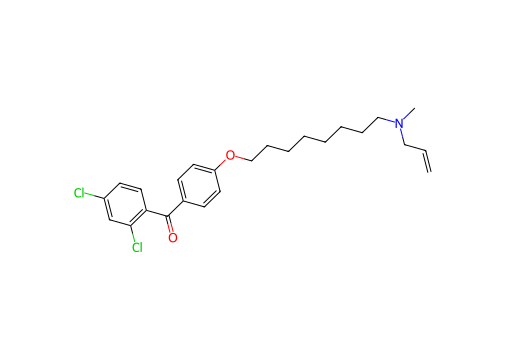 C=CCN(C)CCCCCCCCOc1ccc(C(=O)c2ccc(Cl)cc2Cl)cc1